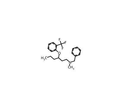 CCCC(CCN(C)Cc1ccccc1)Oc1ccccc1C(F)(F)F